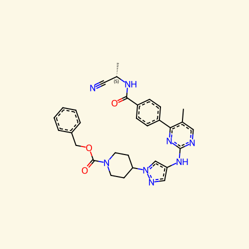 Cc1cnc(Nc2cnn(C3CCN(C(=O)OCc4ccccc4)CC3)c2)nc1-c1ccc(C(=O)N[C@@H](C)C#N)cc1